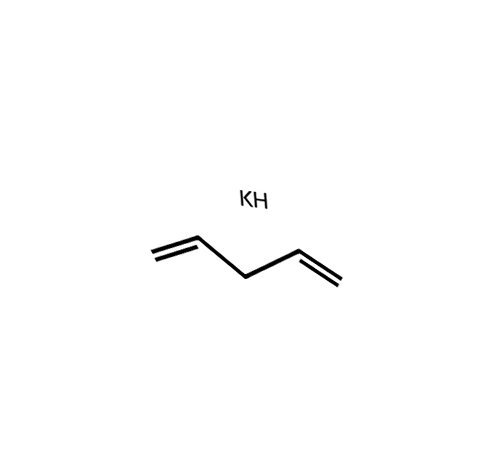 C=CCC=C.[KH]